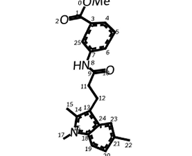 COC(=O)c1cccc(NC(=O)CCc2c(C)n(C)c3ccc(C)cc23)c1